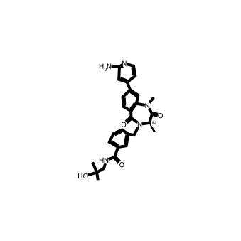 C[C@@H]1C(=O)N(C)c2cc(-c3ccnc(N)c3)ccc2C(=O)N1Cc1cccc(C(=O)NCC(C)(C)O)c1